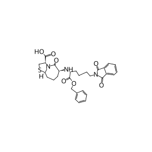 O=C(OCc1ccccc1)C(CCCCN1C(=O)c2ccccc2C1=O)N[C@H]1CCC[C@H]2SC[C@@H](C(=O)O)N2C1=O